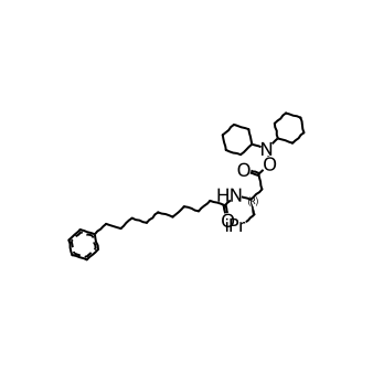 CC(C)C[C@H](CC(=O)ON(C1CCCCC1)C1CCCCC1)NC(=O)CCCCCCCCCc1ccccc1